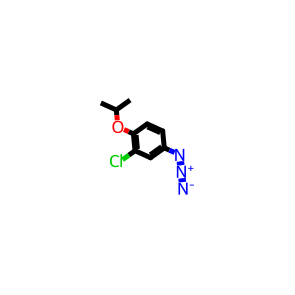 CC(C)Oc1ccc(N=[N+]=[N-])cc1Cl